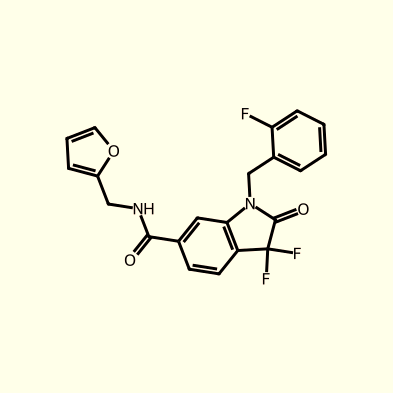 O=C(NCc1ccco1)c1ccc2c(c1)N(Cc1ccccc1F)C(=O)C2(F)F